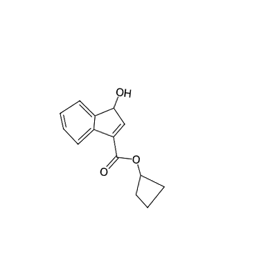 O=C(OC1CCC1)C1=CC(O)c2ccccc21